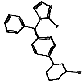 Fc1nccn1C(c1ccccc1)c1ccc(C2CCCC(Br)C2)cc1